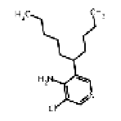 CCCCCC(CCCC)c1cncc(Cl)c1N